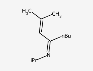 CCCC/C(C=C(C)C)=N/C(C)C